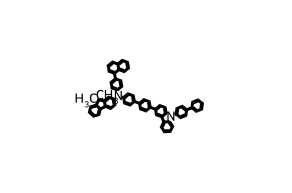 CC1(C)c2ccccc2-c2ccc(N(c3ccc(-c4ccc(-c5ccc6c(c5)c5ccccc5n6-c5ccc(-c6ccccc6)cc5)cc4)cc3)c3ccc(-c4cccc5ccccc45)cc3)cc21